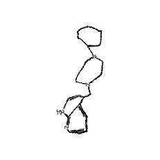 c1cnc2[nH]cc(CN3CCN(C4CCCCC4)CC3)c2c1